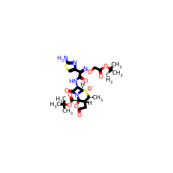 C[C@@H]1[C@@H]2CC(=O)O[C@]2(C(=O)OC(C)(C)C)N2C(=O)[C@@H](NC(=O)/C(=N\OCC(=O)OC(C)(C)C)c3csc(N)n3)[C@H]2[S+]1[O-]